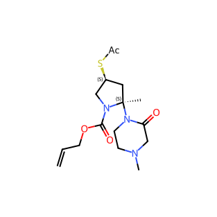 C=CCOC(=O)N1C[C@@H](SC(C)=O)C[C@@]1(C)N1CCN(C)CC1=O